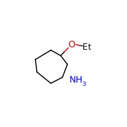 CCOC1CCCCCC1.N